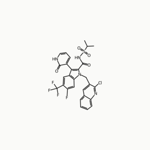 CC(C)S(=O)(=O)NC(=O)c1c(-c2ccc[nH]c2=O)c2cc(C(F)(F)F)c(F)cc2n1Cc1cc2ccccc2nc1Cl